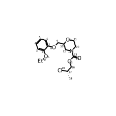 CCOc1ccccc1OCC1CN(C(=O)OC[C@H](C)Cl)CCO1